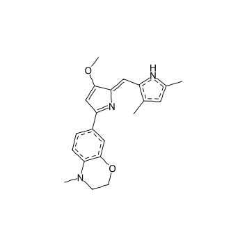 COC1=CC(c2ccc3c(c2)OCCN3C)=NC1=Cc1[nH]c(C)cc1C